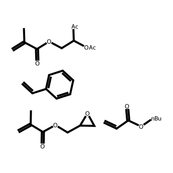 C=C(C)C(=O)OCC(OC(C)=O)C(C)=O.C=C(C)C(=O)OCC1CO1.C=CC(=O)OCCCC.C=Cc1ccccc1